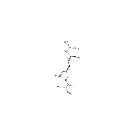 C=C/C(=C\C=C(/C)NC(C)C)COC(=O)C(C)C